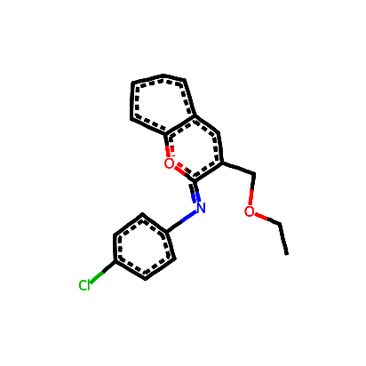 CCOCc1cc2ccccc2oc1=Nc1ccc(Cl)cc1